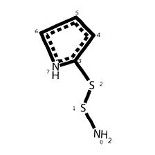 NSSc1ccc[nH]1